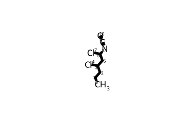 CCCC(Cl)CC(Cl)N=C=O